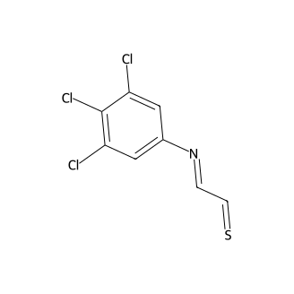 S=CC=Nc1cc(Cl)c(Cl)c(Cl)c1